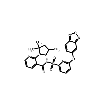 CC1CN(c2ncccc2C(=O)NS(=O)(=O)c2cccc(Oc3ccc4nonc4c3)n2)C(C)(C)C1